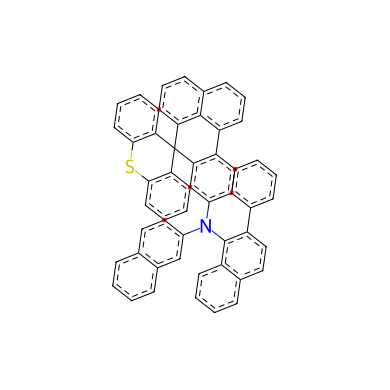 c1ccc(-c2ccc3ccccc3c2N(c2ccc3c(c2)C2(c4ccccc4Sc4ccccc42)c2cccc4cccc-3c24)c2ccc3ccccc3c2)cc1